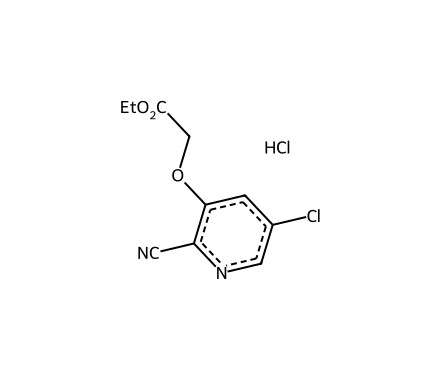 CCOC(=O)COc1cc(Cl)cnc1C#N.Cl